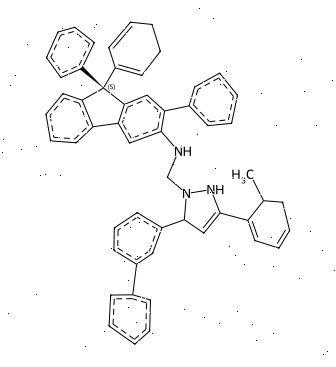 CC1CC=CC=C1C1=CC(c2cccc(-c3ccccc3)c2)N(CNc2cc3c(cc2-c2ccccc2)[C@](C2=CCCC=C2)(c2ccccc2)c2ccccc2-3)N1